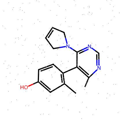 Cc1cc(O)ccc1-c1c(C)ncnc1N1CC=CC1